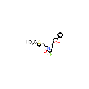 C[C@H](CCc1ccccc1)[C@H](O)/C=C/[C@H]1CC(F)(F)C(=O)N1CCCc1ccc(C(=O)O)s1